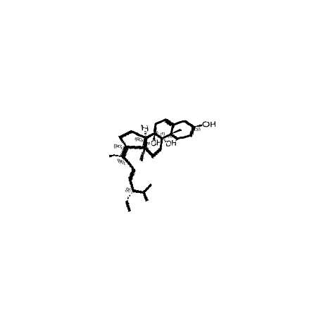 CC[C@H](CC[C@@H](C)[C@H]1CC[C@@H]2[C@]1(C)CC[C@]1(O)[C@@]3(C)CC[C@H](O)CC3=CC[C@@]21O)C(C)C